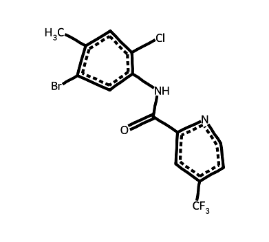 Cc1cc(Cl)c(NC(=O)c2cc(C(F)(F)F)ccn2)cc1Br